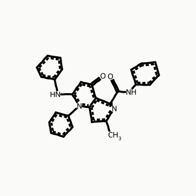 Cc1cc2c(c(C(=O)Nc3ccccc3)n1)c(=O)cc(Nc1ccccc1)n2-c1ccccc1